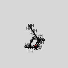 CNCCNCCNCCNCCNCCNc1nc(Nc2ccccc2)nc(Nc2ccc(/C=C/c3ccc(Nc4nc(NCCCOCCOCCO)nc(Nc5ccccc5)n4)cc3S(=O)(=O)O)c(S(=O)(=O)O)c2)n1